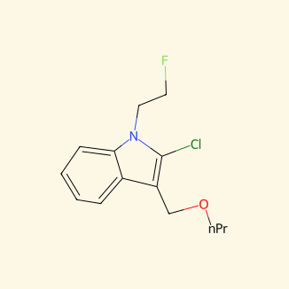 CCCOCc1c(Cl)n(CCF)c2ccccc12